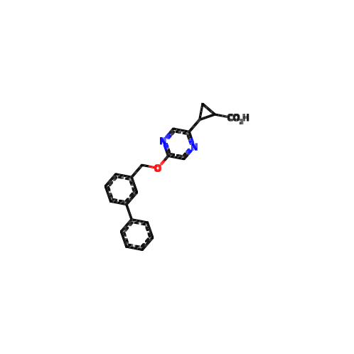 O=C(O)C1CC1c1cnc(OCc2cccc(-c3ccccc3)c2)cn1